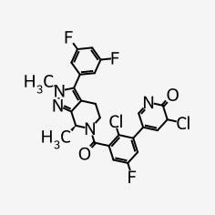 C[C@H]1c2nn(C)c(-c3cc(F)cc(F)c3)c2CCN1C(=O)c1cc(F)cc(C2=CC(Cl)C(=O)N=C2)c1Cl